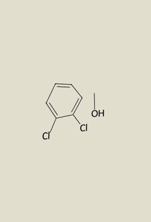 CO.Clc1ccccc1Cl